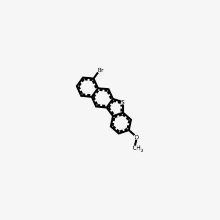 COc1ccc2c(c1)sc1cc3c(Br)cccc3cc12